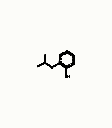 CC(C)Oc1c[c]ccc1O